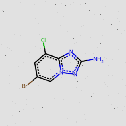 Nc1nc2c(Cl)cc(Br)cn2n1